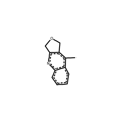 [CH2]c1c2c(nc3ccccc13)COC2